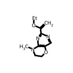 C=C(OCC)c1ncc2c(n1)N(C)CCO2